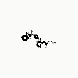 COC(=O)Cc1cccnc1N[C@H]1C[C@H](Nc2nc3ccccc3s2)C1